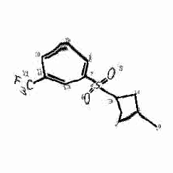 [CH2]C1CC(S(=O)(=O)c2cccc(C(F)(F)F)c2)C1